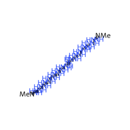 CNNNNNNNNNNNNNNNNNNNNNNNNNNNNNNNC